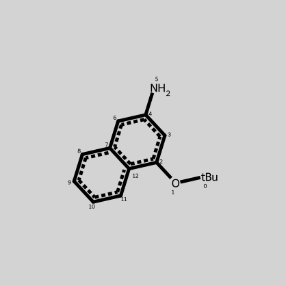 CC(C)(C)Oc1cc(N)cc2ccccc12